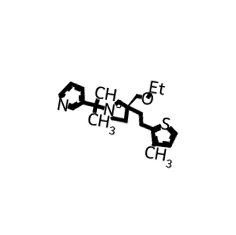 CCOC[C@@]1(CCc2sccc2C)CCN(C(C)(C)c2cccnc2)C1